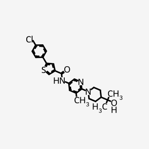 Cc1cc(NC(=O)c2csc(-c3ccc(Cl)cc3)c2)cnc1N1CCC(C(C)(C)O)CC1